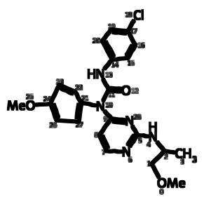 COCC(C)Nc1nccc(N(C(=O)Nc2ccc(Cl)cc2)c2ccc(OC)cc2)n1